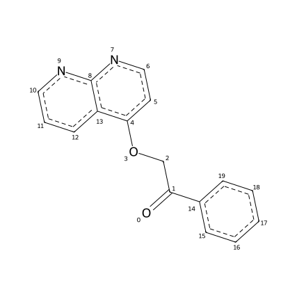 O=C(COc1ccnc2ncccc12)c1ccccc1